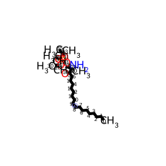 CCCCCCCC/C=C\CCCCCCCC(=O)C(C)(N)COP(=O)(OC(C)(C)C)OC(C)(C)C